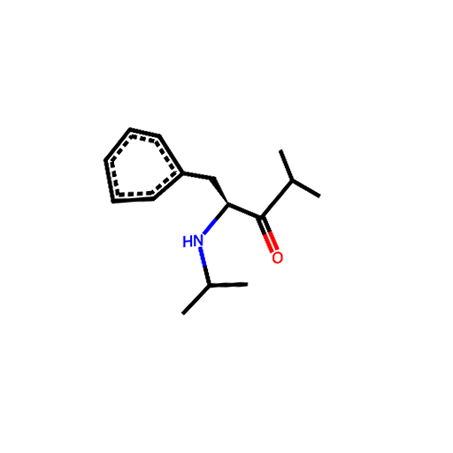 CC(C)N[C@@H](Cc1ccccc1)C(=O)C(C)C